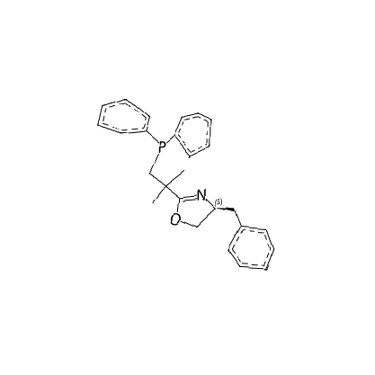 CC(C)(CP(c1ccccc1)c1ccccc1)C1=N[C@@H](Cc2ccccc2)CO1